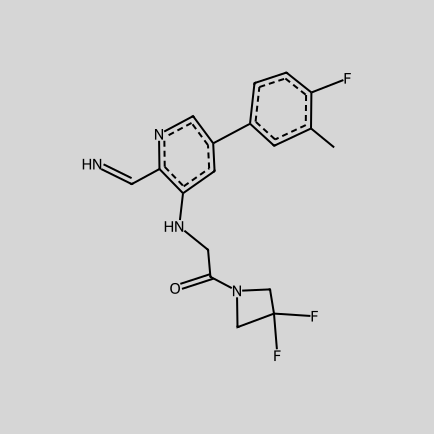 Cc1cc(-c2cnc(C=N)c(NCC(=O)N3CC(F)(F)C3)c2)ccc1F